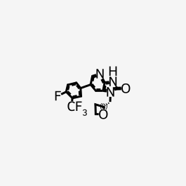 O=c1[nH]c2ncc(-c3ccc(F)c(C(F)(F)F)c3)cc2n1C[C@H]1CCO1